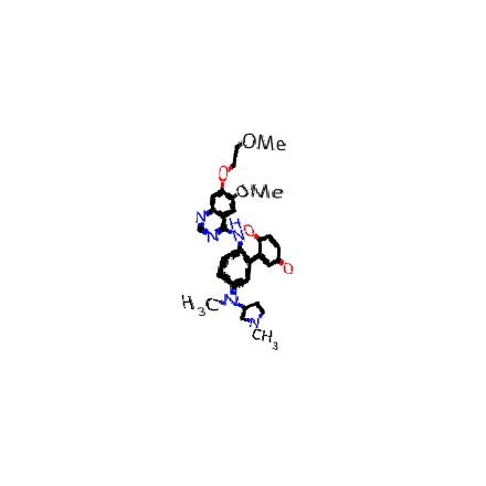 COCCOc1cc2ncnc(Nc3ccc(N(C)C4CCN(C)C4)cc3C3=CC(=O)C=CC3=O)c2cc1OC